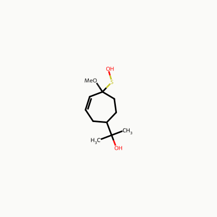 COC1(SO)C=CCC(C(C)(C)O)CC1